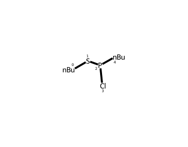 CCCCSP(Cl)CCCC